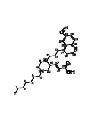 CCCCCCCN1CCC(CCCc2ccnc3ccc(OC)cc23)C(/C=C/C(=O)O)C1